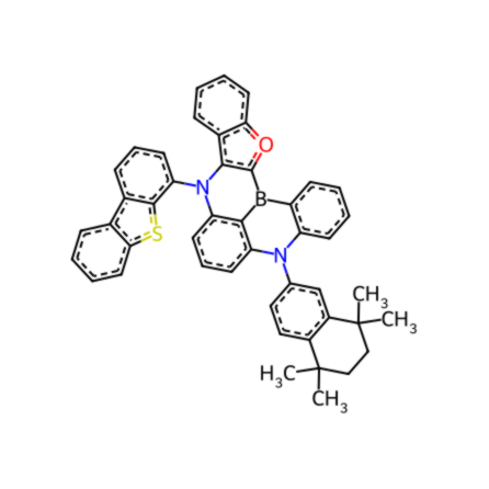 CC1(C)CCC(C)(C)c2cc(N3c4ccccc4B4c5oc6ccccc6c5N(c5cccc6c5sc5ccccc56)c5cccc3c54)ccc21